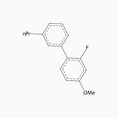 CCCc1cccc(-c2ccc(OC)cc2F)c1